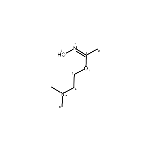 CC(=NO)OCCN(C)C